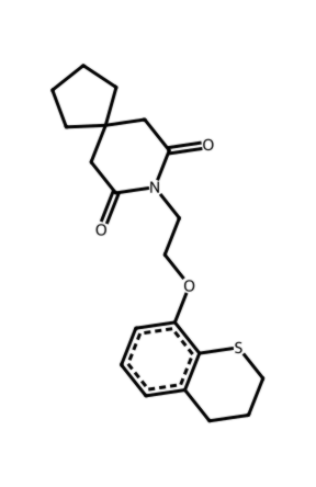 O=C1CC2(CCCC2)CC(=O)N1CCOc1cccc2c1SCCC2